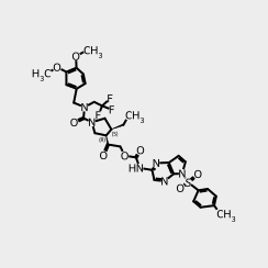 CC[C@@H]1CN(C(=O)N(Cc2ccc(OC)c(OC)c2)CC(F)(F)F)C[C@@H]1C(=O)COC(=O)Nc1cnc2c(ccn2S(=O)(=O)c2ccc(C)cc2)n1